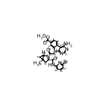 COC(=O)c1ccc2c3c(N)ncnc3n(CC(=O)N3[C@H](C(=O)Nc4cccc(Br)n4)C[C@@]4(C)C[C@@H]34)c2c1